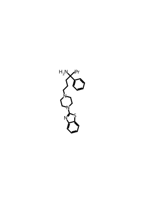 CC(C)C(N)(CCCN1CCN(c2nc3ccccc3s2)CC1)c1ccccc1